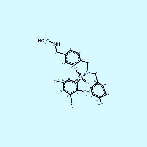 O=C(O)NCc1ccc(CN(Cc2ccc(F)cc2)S(=O)(=O)c2cc(Cl)cc(Cl)c2O)cc1